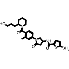 Bc1ccc(C(=O)NC2CC(=O)N(c3ccc(C(=O)N4CCCCC4CCCO)c(C)c3)C2)s1